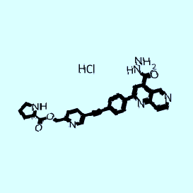 Cl.NNC(=O)c1cc(-c2ccc(C#Cc3ccc(COC(=O)[C@H]4CCCN4)nc3)cc2)nc2ccncc12